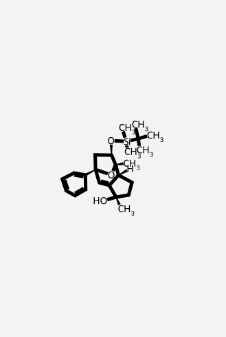 CC(C)(C)[Si](C)(C)O[C@@H]1C[C@@]2(c3ccccc3)C=C3[C@@H](CC[C@]3(C)O)[C@]1(C)O2